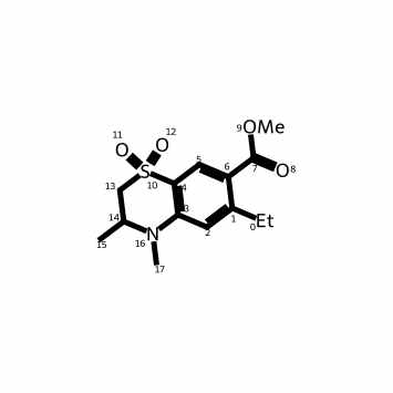 CCc1cc2c(cc1C(=O)OC)S(=O)(=O)CC(C)N2C